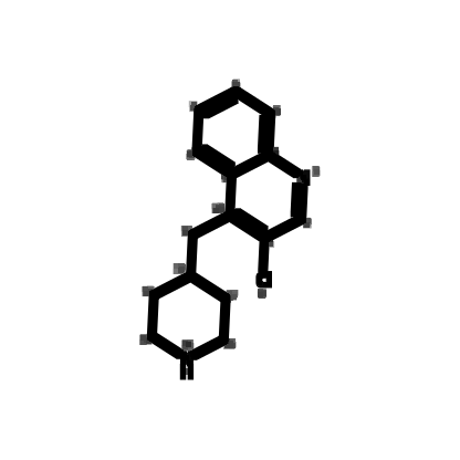 Clc1cnc2ccccc2c1CC1CCNCC1